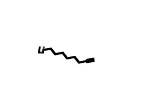 [Li][CH2]CCCCCC#C